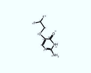 Nc1ncc(OCC(F)F)c(=O)[nH]1